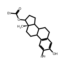 CCCc1cc2c(cc1O)CCC1C2CC[C@]2(C)C(OC(=O)CC)CCC12